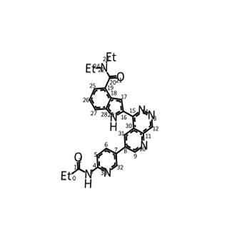 CCC(=O)Nc1ccc(-c2cnc3cnnc(-c4cc5c(C(=O)N(CC)CC)cccc5[nH]4)c3c2)cn1